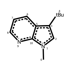 Cn1cc(C(C)(C)C)c2cccnc21